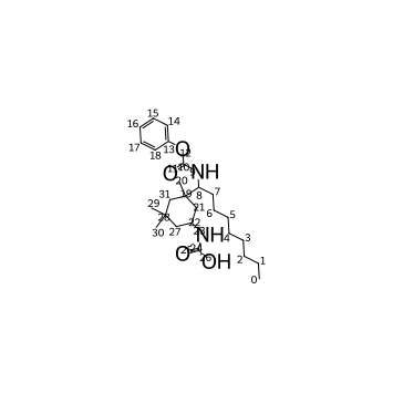 CCCCCCCCC(NC(=O)Oc1ccccc1)C1(C)CC(NC(=O)O)CC(C)(C)C1